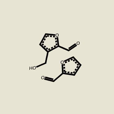 O=Cc1ccco1.O=Cc1occc1CO